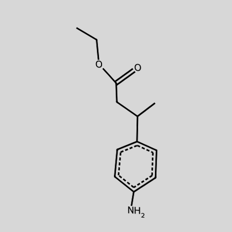 CCOC(=O)CC(C)c1ccc(N)cc1